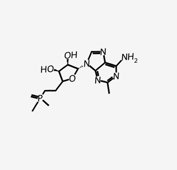 C=P(C)(C)CCC1O[C@@H](n2cnc3c(N)nc(C)nc32)[C@H](O)[C@@H]1O